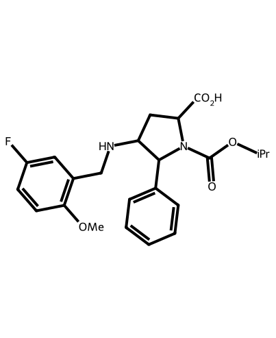 COc1ccc(F)cc1CNC1CC(C(=O)O)N(C(=O)OC(C)C)C1c1ccccc1